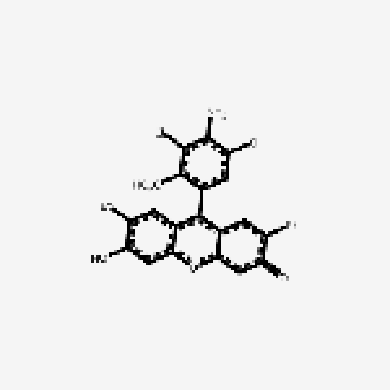 CCc1cc2c(-c3cc(Cl)c(N)c(Cl)c3C(=O)O)c3cc(CC)c(=O)cc-3oc2cc1O